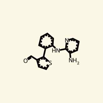 Nc1cccnc1Nc1ccccc1-c1sccc1C=O